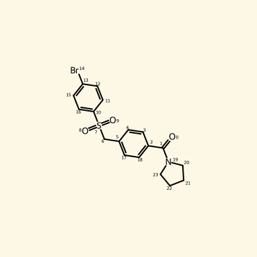 O=C(c1ccc(CS(=O)(=O)c2ccc(Br)cc2)cc1)N1CCCC1